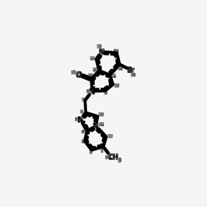 Cc1ccc2nc(Cn3ccc4c(Br)cncc4c3=O)cn2c1